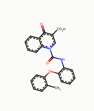 Cc1ccccc1Oc1ccccc1NC(=O)n1cc(C(=O)O)c(=O)c2ccccc21